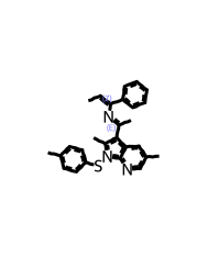 C/C=C(\N=C(/C)c1c(C)n(Sc2ccc(C)cc2)c2ncc(C)cc12)c1ccccc1